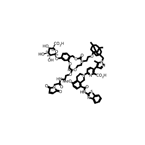 COCCN(CCOC12CC3(C)CC(C)(CC(Cn4ncc(-c5ccc(N6CCc7c(OC)ccc(C(=O)Nc8nc9ccccc9s8)c7C6)nc5C(=O)O)c4C)(C3)C1)C2)C(=O)OCc1ccc(O[C@@H]2O[C@H](C(=O)O)[C@@H](O)[C@H](O)[C@H]2O)cc1OCCOCCNC(=O)CN1C(=O)C=CC1=O